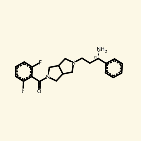 N[C@@H](CCN1CC2CN(C(=O)c3c(F)cccc3F)CC2C1)c1ccccc1